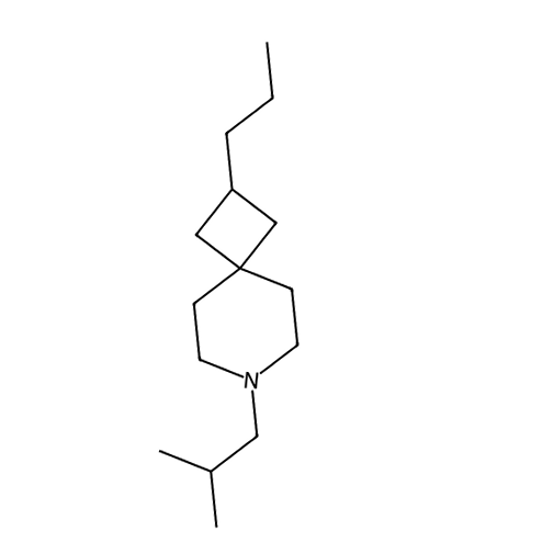 CCCC1CC2(CCN(CC(C)C)CC2)C1